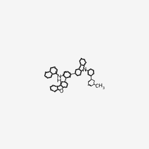 CC1C=CC=C(c2cccc(-n3c4ccccc4c4cc(-c5ccc(Nc6cccc7ccccc67)c(-c6ccc7oc8ccccc8c7c6)c5)ccc43)c2)C1